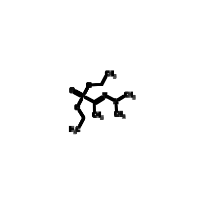 CCOP(=O)(OCC)C(C)=NN(C)C